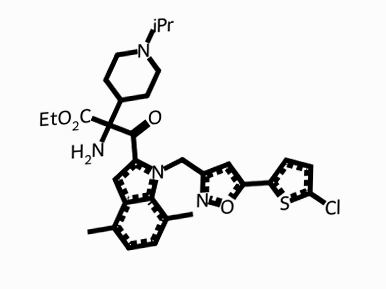 CCOC(=O)C(N)(C(=O)c1cc2c(C)ccc(C)c2n1Cc1cc(-c2ccc(Cl)s2)on1)C1CCN(C(C)C)CC1